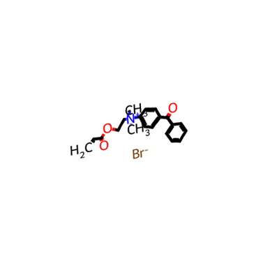 C=CC(=O)OCC[N+](C)(C)c1ccc(C(=O)c2ccccc2)cc1.[Br-]